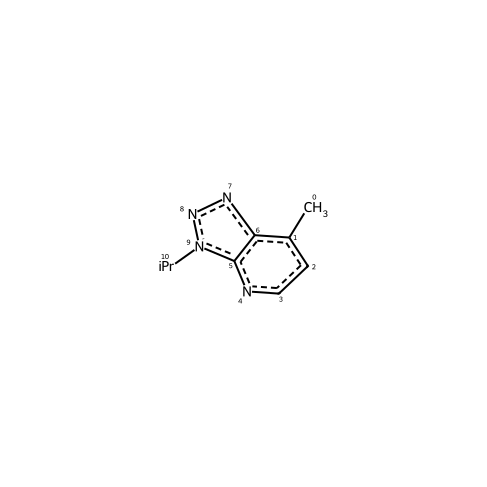 Cc1ccnc2c1nnn2C(C)C